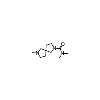 CN1CCC2(CCN(C(=O)N(C)C)C2)C1